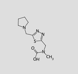 CN(Cc1nnc(CN2CCCC2)s1)C(=O)O